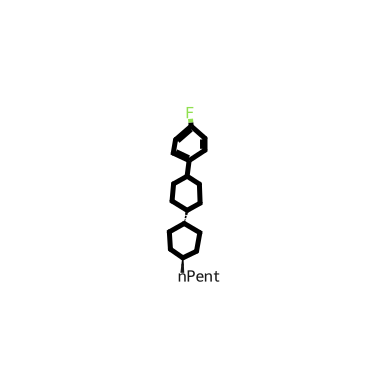 CCCCC[C@H]1CC[C@H](C2CCC(c3ccc(F)cc3)CC2)CC1